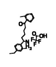 CCc1ccc(C(N)CCCCC(=O)c2ccccc2C)c(C)c1.O=C(O)C(F)(F)F